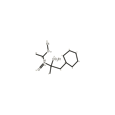 CCOC(=O)C(C)(CC1CCCCC1)[PH](=O)C(C)OCC